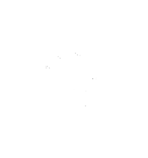 O=S(=O)(O)O.[NaH].c1cn[nH]c1